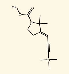 CC(C)(C)OC(=O)N1CC/C(=C\C#C[Si](C)(C)C)C1(C)C